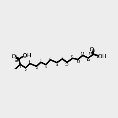 CC(CCCCCCCCCCCCCC(=O)O)C(=O)O